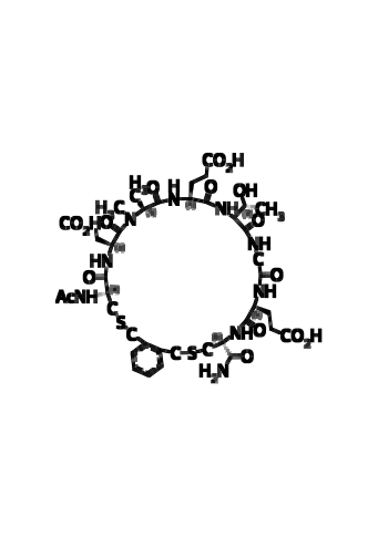 CC(=O)N[C@H]1CSCc2ccccc2CSC[C@@H](C(N)=O)NC(=O)[C@H](CCC(=O)O)NC(=O)CNC(=O)C([C@@H](C)O)NC(=O)[C@H](CCC(=O)O)NC(=O)[C@H](C)N(C)C(=O)[C@H](CC(=O)O)NC1=O